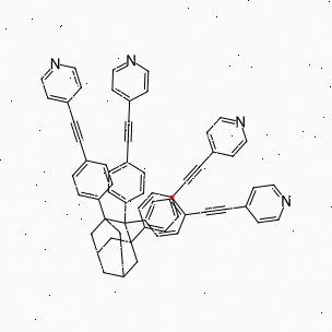 C(#Cc1ccc(C23CC4CC(C2)CC(c2ccc(C#Cc5ccncc5)cc2)(C4)C3(c2ccc(C#Cc3ccncc3)cc2)c2ccc(C#Cc3ccncc3)cc2)cc1)c1ccncc1